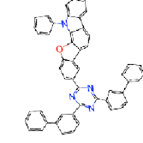 c1ccc(-c2cccc(-c3nc(-c4cccc(-c5ccccc5)c4)nc(-c4ccc5oc6c(ccc7c8ccccc8n(-c8ccccc8)c76)c5c4)n3)c2)cc1